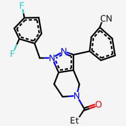 CCC(=O)N1CCc2c(c(-c3cccc(C#N)c3)nn2Cc2ccc(F)cc2F)C1